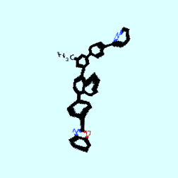 Cc1cc(-c2ccc(-c3ccccn3)cc2)cc(-c2ccc(-c3ccc(-c4nc5ccccc5o4)cc3)c3ccccc23)c1